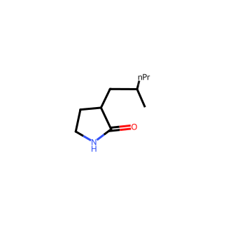 CCCC(C)CC1CCNC1=O